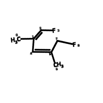 CC(=CF)C=C(C)CF